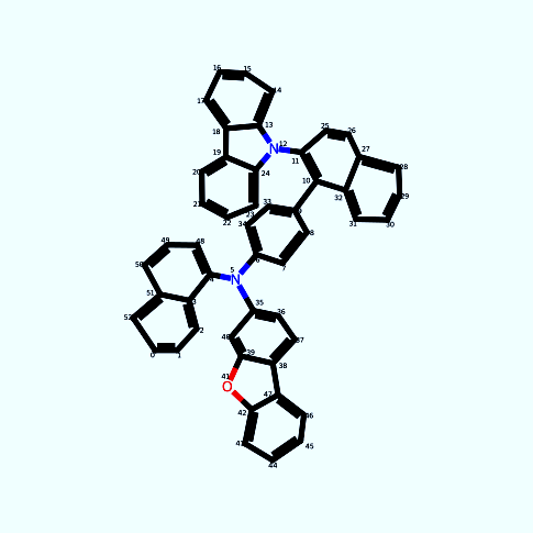 c1ccc2c(N(c3ccc(-c4c(-n5c6ccccc6c6ccccc65)ccc5ccccc45)cc3)c3ccc4c(c3)oc3ccccc34)cccc2c1